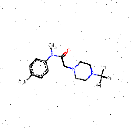 [2H]C([2H])([2H])N1CCN(CC(=O)N(C)c2ccc([N+](=O)[O-])cc2)CC1